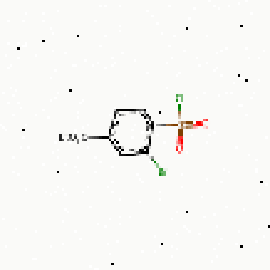 CCOC(=O)c1ccc(S(=O)(=O)Cl)c(Br)c1